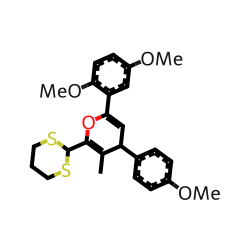 COc1ccc(C2C=C(c3cc(OC)ccc3OC)OC(C3SCCCS3)=C2C)cc1